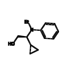 CCN(c1ccccc1)[C@H](CO)C1CC1